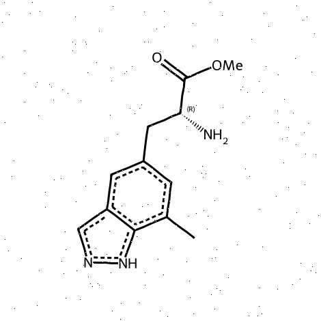 COC(=O)[C@H](N)Cc1cc(C)c2[nH]ncc2c1